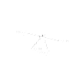 CCC(P(CCCCCCCCC(=O)O)CCCCCCCCC(=O)O)P(CCCCCCCCC(=O)O)CCCCCCCCC(=O)O